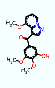 COc1cc(C(=O)c2cnn3cccc(OC)c23)cc(O)c1OC